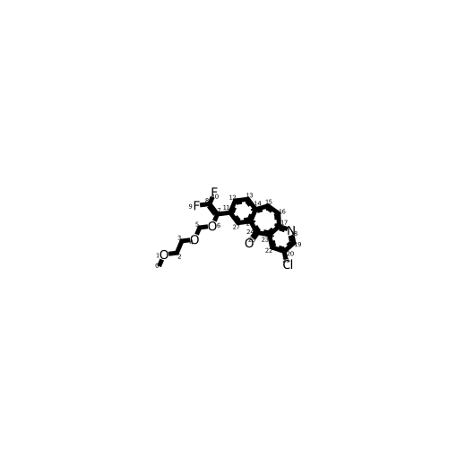 COCCOCOC(=C(F)F)c1ccc2ccc3ncc(Cl)cc3c(=O)c2c1